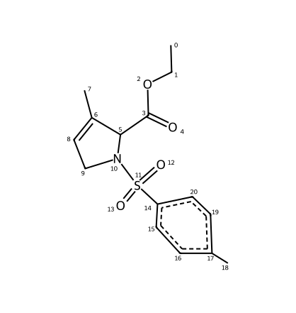 CCOC(=O)C1C(C)=CCN1S(=O)(=O)c1ccc(C)cc1